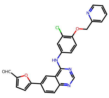 O=Cc1ccc(-c2ccc3ncnc(Nc4ccc(OCc5ccccn5)c(Cl)c4)c3c2)o1